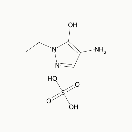 CCn1ncc(N)c1O.O=S(=O)(O)O